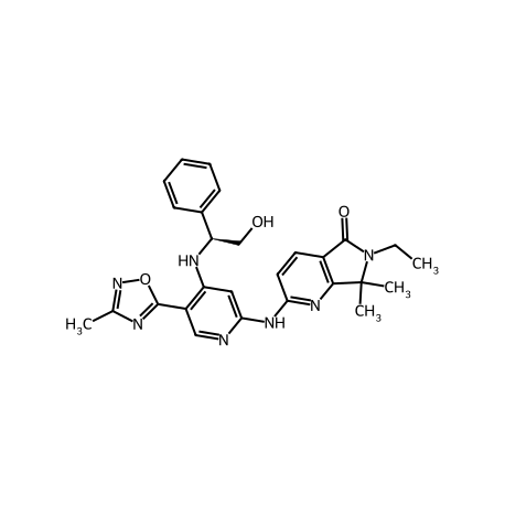 CCN1C(=O)c2ccc(Nc3cc(N[C@H](CO)c4ccccc4)c(-c4nc(C)no4)cn3)nc2C1(C)C